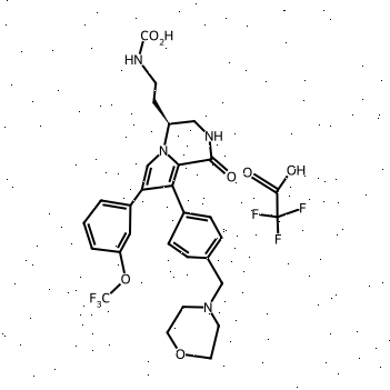 O=C(O)C(F)(F)F.O=C(O)NCC[C@H]1CNC(=O)c2c(-c3ccc(CN4CCOCC4)cc3)c(-c3cccc(OC(F)(F)F)c3)cn21